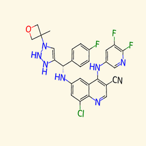 CC1(N2C=C([C@@H](Nc3cc(Cl)c4ncc(C#N)c(Nc5cnc(F)c(F)c5)c4c3)c3ccc(F)cc3)NN2)COC1